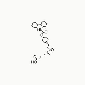 CN(CCCCC(=O)O)C(=O)CCN1CCC(OC(=O)Nc2ccccc2-c2ccccc2)CC1